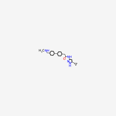 CNCc1ccc(-c2ccc(CC(=O)Nc3cc(C4CC4)[nH]n3)cc2)cc1